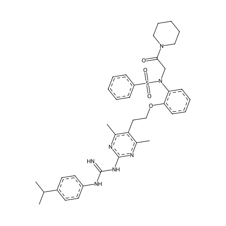 Cc1nc(NC(=N)Nc2ccc(C(C)C)cc2)nc(C)c1CCOc1ccccc1N(CC(=O)N1CCCCC1)S(=O)(=O)c1ccccc1